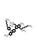 CCCCCCc1ccc(-n2c3cc(C)ccc3c3ccc(-c4cc(CC(C)C)c5cc(C)cc(CC(C)CCCCCC)c5c4)cc32)cc1